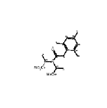 CCOC(=O)[C@H](C)N(C(=O)Cc1c(C)cc(C)cc1C)C(C)OC